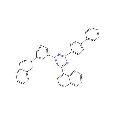 c1ccc(-c2ccc(-c3nc(-c4cccc(-c5ccc6ccccc6c5)c4)nc(-c4cccc5ccccc45)n3)cc2)cc1